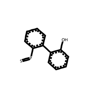 Oc1ccccc1-c1ccccc1P=S